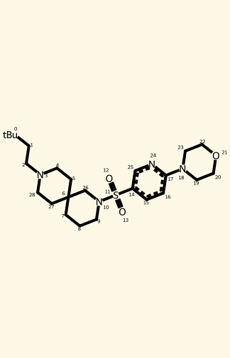 CC(C)(C)CCN1CCC2(CCCN(S(=O)(=O)c3ccc(N4CCOCC4)nc3)C2)CC1